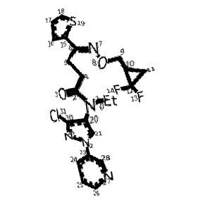 CCN(C(=O)CCC(=NOCC1CC1(F)F)c1cccs1)c1cn(-c2cccnc2)nc1Cl